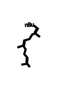 CCCCC=C(C)CCC=C(C)CCC=C(C)C